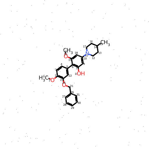 COc1ccc(-c2c(O)cc(N3CCC(C)CC3)cc2OC)cc1OCc1ccccc1